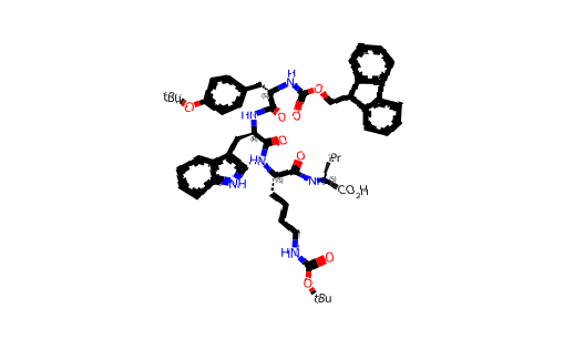 CC(C)[C@H](NC(=O)[C@H](CCCCNC(=O)OC(C)(C)C)NC(=O)[C@@H](Cc1c[nH]c2ccccc12)NC(=O)[C@H](Cc1ccc(OC(C)(C)C)cc1)NC(=O)OCC1c2ccccc2-c2ccccc21)C(=O)O